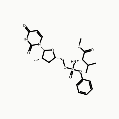 COC(=O)[C@@H](NP(=O)(OC[C@@H]1C[C@H](C)[C@H](n2ccc(=O)[nH]c2=O)O1)Oc1ccccc1)C(C)C